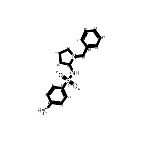 Cc1ccc(S(=O)(=O)NC2CCCN2Cc2ccccc2)cc1